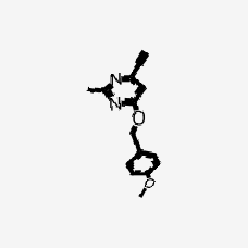 C#Cc1cc(OCc2ccc(OC)cc2)nc(C)n1